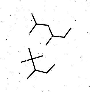 CCC(C)C(C)(C)C.CCC(C)CC(C)C